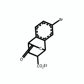 CCOC(=O)C1CC2C(=O)CC1c1cc(Br)ccc12